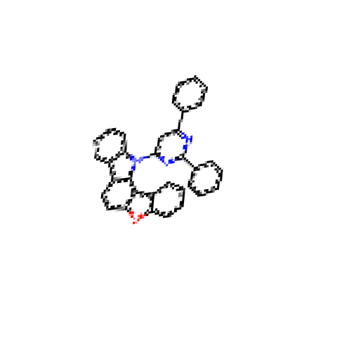 c1ccc(-c2cc(-n3c4ccccc4c4ccc5oc6ccccc6c5c43)nc(-c3ccccc3)n2)cc1